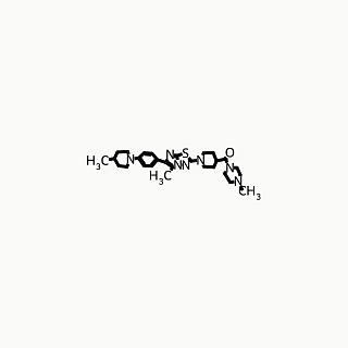 Cc1c(-c2ccc(N3CCC(C)CC3)cc2)nc2sc(N3CCC(C(=O)N4CCN(C)CC4)CC3)nn12